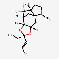 C/C=C/[C@]1(CC)O[C@H]2C[C@@]34C[C@H](C(C)(C)[C@@H]3CC[C@H]4C)[C@@]2(C)O1